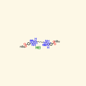 CCCCOC(=O)c1ccc(NC(=N)NC(=N)NCCCCCCNC(=N)NC(=N)Nc2ccc(C(=O)OCCCC)cc2)cc1.Cl.Cl